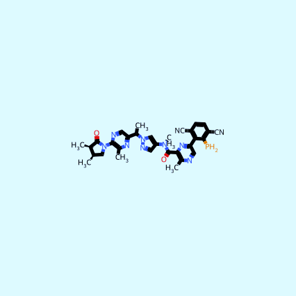 Cc1ncc(-c2c(C#N)ccc(C#N)c2P)nc1C(=O)N(C)c1cnn(C(C)c2cnc(N3C[C@@H](C)[C@@H](C)C3=O)c(C)n2)c1